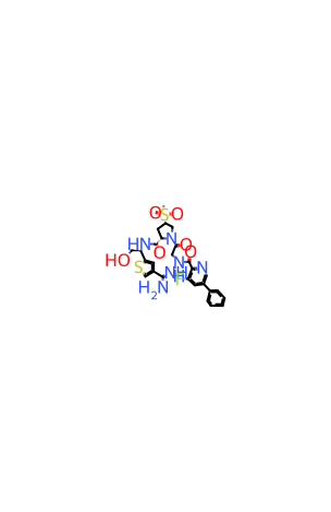 CS(=O)(=O)[C@@H]1C[C@@H](C(=O)N[C@H](CO)c2cc(C(=N)N)cs2)N(C(=O)CNC(=O)c2ncc(-c3ccccc3)cc2F)C1